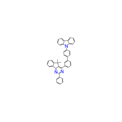 CC1(C)c2ccccc2-c2nc(-c3ccccc3)nc(-c3cccc(-c4ccc(-n5c6ccccc6c6ccccc65)cc4)c3)c21